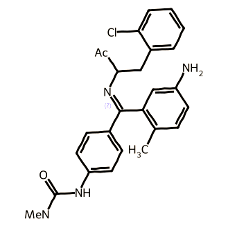 CNC(=O)Nc1ccc(/C(=N/C(Cc2ccccc2Cl)C(C)=O)c2cc(N)ccc2C)cc1